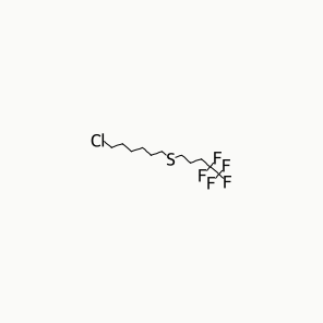 FC(F)(F)C(F)(F)CCCSCCCCCCCl